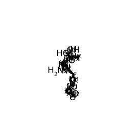 Nc1nc(C#CCC2CCN(C(=O)Oc3cccc([N+](=O)[O-])c3)CC2)nc2c1ncn2CO[C@H](C(=O)NC1CC1)C(O)CO